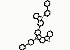 c1ccc(-c2ccc(-n3c4ccc(-c5ccc6c(c5)c5ccccc5n6-c5cccc(-c6ccccc6)c5)cc4c4c5c(ccc43)oc3ccccc35)cc2)cc1